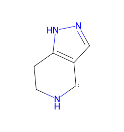 [C]1NCCc2[nH]ncc21